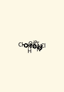 CC(C)C1CN(c2nccc(Cl)n2)CCN1C(=O)Nc1ccc(Cl)cc1